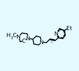 CCc1ccc(/C=C/CN2CCC(N3CCN(C)CC3)CC2)nc1